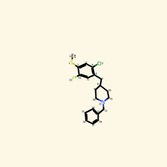 CCSc1cc(Cl)c(CC2CCN(Cc3ccccc3)CC2)cc1F